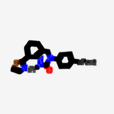 CCCCCc1ccc(N(Cc2cccc(-c3nccs3)c2)C(=O)NC(C)C)cc1